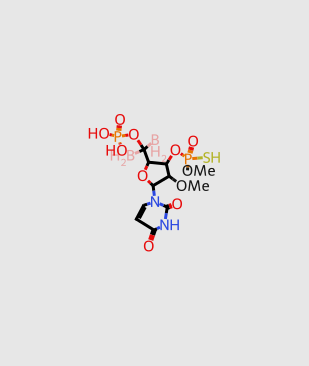 BC(B)(OP(=O)(O)O)C1OC(n2ccc(=O)[nH]c2=O)C(OC)C1OP(=O)(S)OC